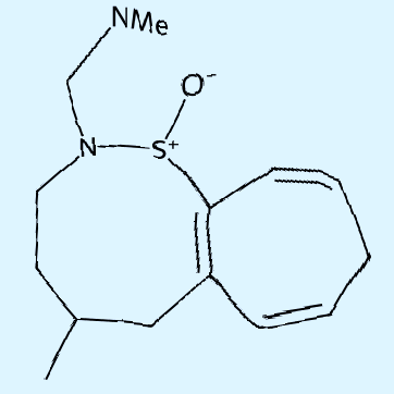 CNCN1CCC(C)CC2=C(C=CCC=C2)[S+]1[O-]